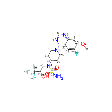 COc1cc2ncnc(N3CCC(N(CC(O)C(F)(F)F)S(N)(=O)=O)CC3)c2cc1F